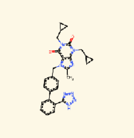 Cc1nc2c(c(=O)n(CC3CC3)c(=O)n2CC2CC2)n1Cc1ccc(-c2ccccc2-c2nnn[nH]2)cc1